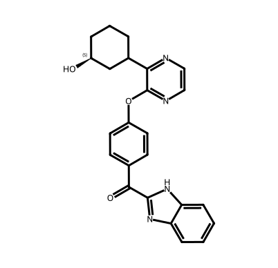 O=C(c1ccc(Oc2nccnc2C2CCC[C@H](O)C2)cc1)c1nc2ccccc2[nH]1